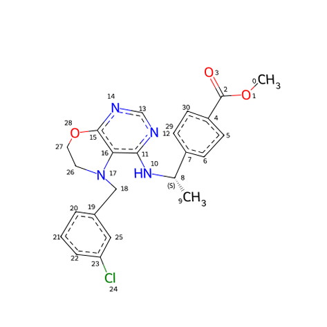 COC(=O)c1ccc([C@H](C)Nc2ncnc3c2N(Cc2cccc(Cl)c2)CCO3)cc1